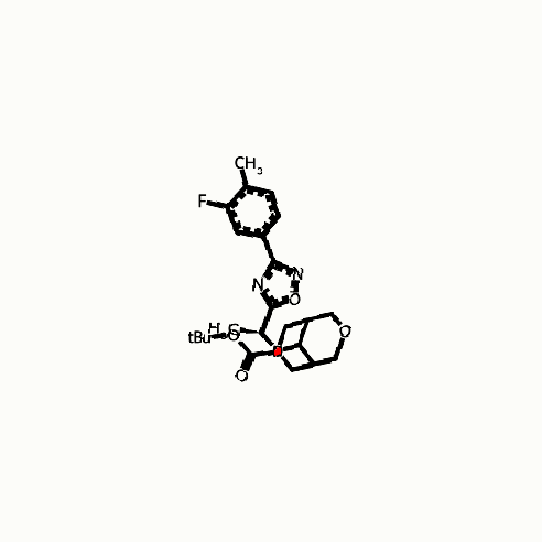 Cc1ccc(-c2noc([C@H](C)OC3C4COCC3CN(C(=O)OC(C)(C)C)C4)n2)cc1F